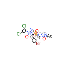 CC(=O)N1CCC2CN(S(=O)(=O)c3cnc4n3[C@](C)(Cc3ccc(Br)cc3)C(=O)N4c3cc(Cl)cc(Cl)c3)CCN2C1=O